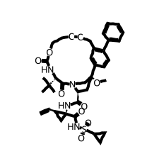 C=C[C@@H]1C[C@]1(NC(=O)[C@@H]1C[C@]2(OC)CN1C(=O)[C@H](C(C)(C)C)NC(=O)OCCCCCc1cc2ccc1-c1ccccc1)C(=O)NS(=O)(=O)C1CC1